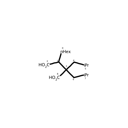 CCCCCCC(C(=O)O)C(CC(C)C)(CC(C)C)C(=O)O